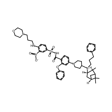 C[C@@H]1C2C[C@@H](C[C@@H]1N(CCCc1ccccc1)C1CCN(c3ccc(C(=O)NS(=O)(=O)c4ccc(NCCCN5CCOCC5)c([N+](=O)[O-])c4)c(Oc4ccccc4)c3)CC1)C2(C)C